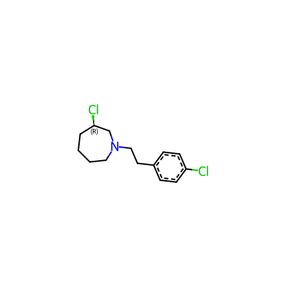 Clc1ccc(CCN2CCCC[C@@H](Cl)C2)cc1